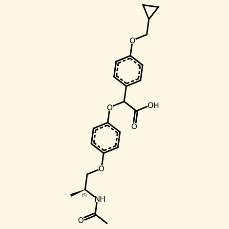 CC(=O)N[C@@H](C)COc1ccc(OC(C(=O)O)c2ccc(OCC3CC3)cc2)cc1